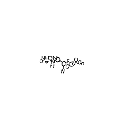 N#Cc1cc(-c2ccnc(NC(=O)[C@@H]3C[C@@H]3C(N)=O)c2)ccc1O[C@H]1CCN(C(=O)CO)C[C@H]1F